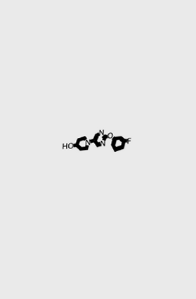 OC1CCN(c2cnc(Oc3cccc(F)c3)nc2)CC1